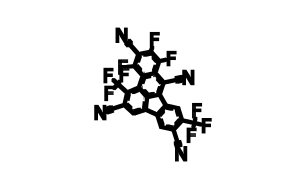 N#Cc1cc2c(cc1C(F)(F)F)-c1c(C#N)c3c(F)c(F)c(C#N)c(F)c3c3c(C(F)(F)F)c(C#N)cc-2c13